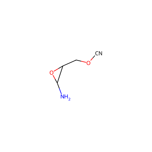 N#COCC1OC1N